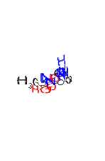 CC/C=C(/C(=O)O)c1cnc(OCC)n1CC1CCC(c2ccccc2-c2nn[nH]n2)CC1